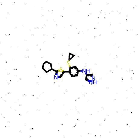 c1cc(-c2cnc(C3CCCCC3)s2)c(SC2CC2)cc1Nc1cn[nH]c1